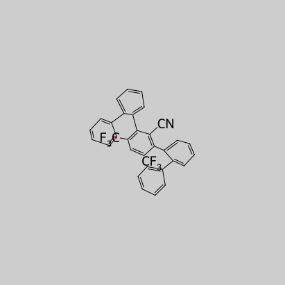 N#Cc1c(-c2ccccc2-c2ccccc2)c(C(F)(F)F)cc(C(F)(F)F)c1-c1ccccc1-c1ccccc1